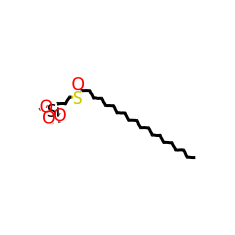 CCCCCCCCCCCCCCCCCCCC(=O)SCCC[Si](OC)(OC)OC